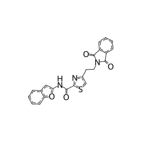 O=C(Nc1cc2ccccc2o1)c1nc(CCN2C(=O)c3ccccc3C2=O)cs1